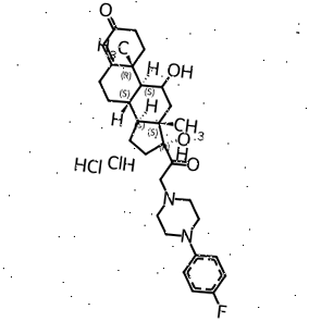 C[C@]12CCC(=O)C=C1CC[C@@H]1[C@@H]2C(O)C[C@@]2(C)[C@H]1CC[C@]2(O)C(=O)CN1CCN(c2ccc(F)cc2)CC1.Cl.Cl